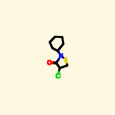 O=C1C(Cl)CSN1C1CCCCC1